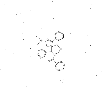 CN(C)CC[C@]1(C(=O)c2ccccc2)CNC[C@H](C(=O)c2ccccc2)C1c1ccccc1